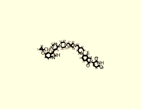 CC1(Oc2ccc3n[nH]c(-c4cc(N5CCN(CC6(F)CN(CC7CCN(c8ccc9c(c8F)CN(C8CCC(=O)NC8=O)C9=O)CC7)C6)CC5)ncn4)c3c2)CC1